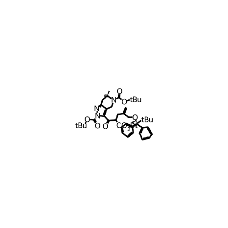 C=C(CO[Si](c1ccccc1)(c1ccccc1)C(C)(C)C)CC(C(=O)OCC)C(=O)c1c2c(nn1C(=O)OC(C)(C)C)C[C@@H](C)N(C(=O)OC(C)(C)C)C2